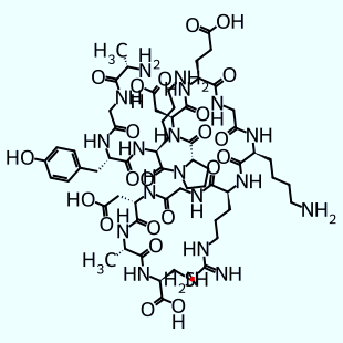 C[C@H](N)C(=O)NCC(=O)N[C@@H](Cc1ccc(O)cc1)C(=O)N[C@@H](CCCCN)C(=O)N1CCC[C@H]1C(=O)N[C@@H](CC(=O)O)C(=O)N[C@@H](CCC(=O)O)C(=O)NCC(=O)N[C@@H](CCCCN)C(=O)N[C@@H](CCCNC(=N)N)C(=O)NCC(=O)N[C@@H](CC(=O)O)C(=O)N[C@@H](C)C(=O)N[C@@H](CS)C(=O)O